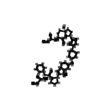 COC(=O)N[C@H]1CC[C@H]2CC[C@@H](c3ncc(-c4ccc(Oc5ccc6nc(C7CCCN7C(=O)[C@H](NC(=O)OC)c7ccccc7)[nH]c6c5)cc4)[nH]3)N2C1=O